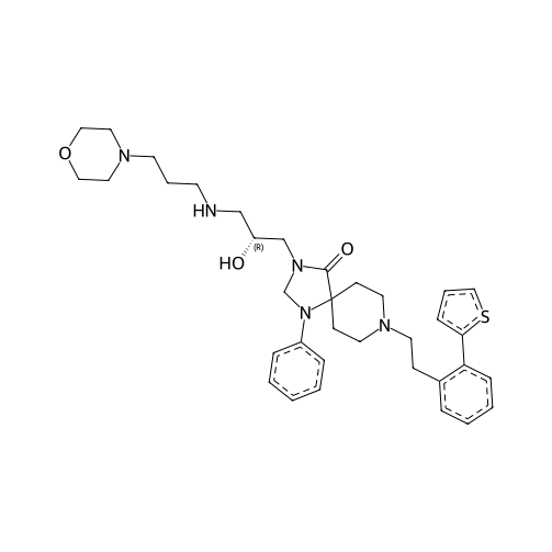 O=C1N(C[C@H](O)CNCCCN2CCOCC2)CN(c2ccccc2)C12CCN(CCc1ccccc1-c1cccs1)CC2